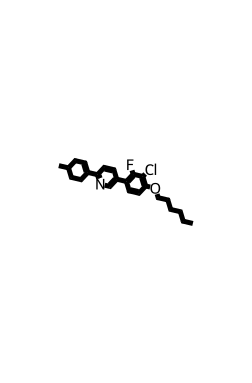 CCCCCCOc1ccc(-c2ccc(C3=CCC(C)CC3)nc2)c(F)c1Cl